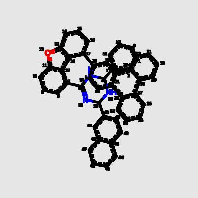 c1ccc(C2NC(c3cccc4oc5cccc(-c6ccc7c8ccccc8c8ccccc8c7c6)c5c34)=NC(c3ccc4ccccc4c3)N2)cc1